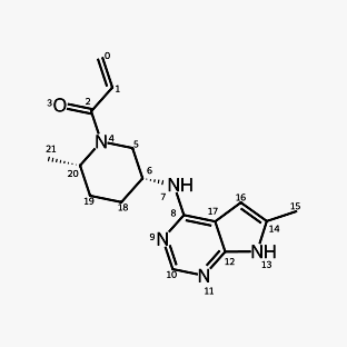 C=CC(=O)N1C[C@H](Nc2ncnc3[nH]c(C)cc23)CC[C@@H]1C